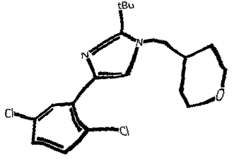 CC(C)(C)c1nc(-c2cc(Cl)ccc2Cl)cn1CC1CCOCC1